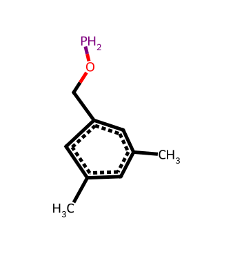 Cc1cc(C)cc(COP)c1